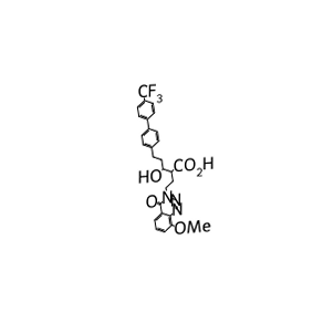 COc1cccc2c(=O)n(CCC(C(=O)O)[C@H](O)CCc3ccc(-c4ccc(C(F)(F)F)cc4)cc3)nnc12